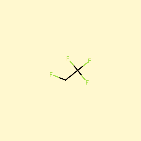 FCC(F)(F)F